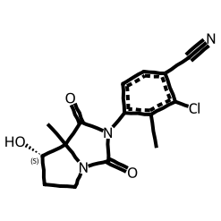 Cc1c(N2C(=O)N3CC[C@H](O)C3(C)C2=O)ccc(C#N)c1Cl